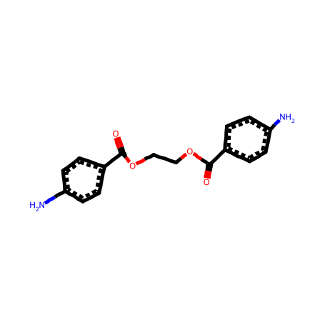 Nc1ccc(C(=O)OCCOC(=O)c2ccc(N)cc2)cc1